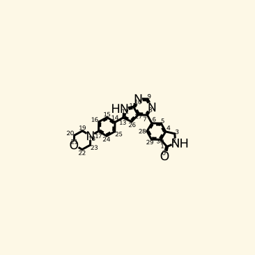 O=C1NCc2cc(-c3ncnc4[nH]c(-c5ccc(N6CCOCC6)cc5)cc34)ccc21